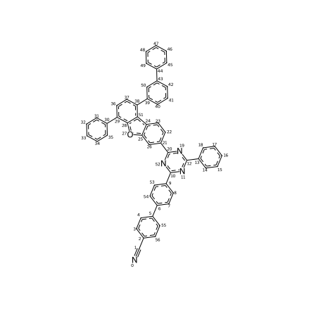 N#Cc1ccc(-c2ccc(-c3nc(-c4ccccc4)nc(-c4ccc5c(c4)oc4c(-c6ccccc6)ccc(-c6cccc(-c7ccccc7)c6)c45)n3)cc2)cc1